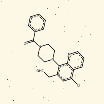 O=CCc1cc(Cl)c2cccnc2c1N1CCN(C(=O)c2ccccc2)CC1